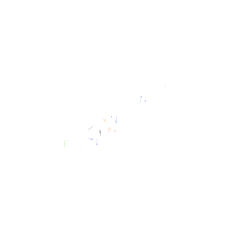 Cc1nc(OC(F)F)ccc1S(=O)(=O)N1CCC2(CC1)CC(N1CC3(COC3)C1)C2